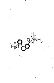 NC(N)=NC(=O)c1ccc2c(c1)C(c1ccccc1OC(F)(F)F)=CCC2